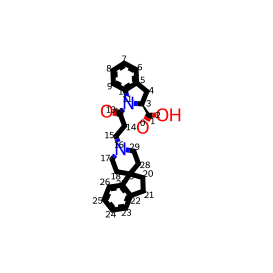 O=C(O)[C@@H]1Cc2ccccc2N1C(=O)CCN1CCC2(CCc3ccccc32)CC1